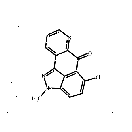 Cn1nc2c3c(c(Cl)ccc31)C(=O)c1ncccc1-2